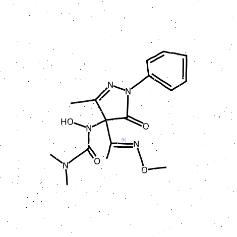 CO/N=C(\C)C1(N(O)C(=O)N(C)C)C(=O)N(c2ccccc2)N=C1C